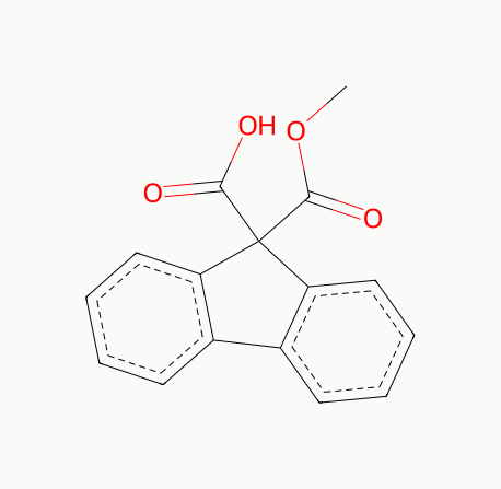 COC(=O)C1(C(=O)O)c2ccccc2-c2ccccc21